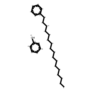 CCCCCCCCCCCCCCCCCc1ccccc1.Oc1ccccc1